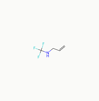 C=CCNC(F)(F)F